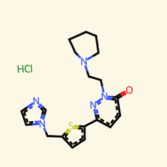 Cl.O=c1ccc(-c2ccc(Cn3ccnc3)s2)nn1CCN1CCCCC1